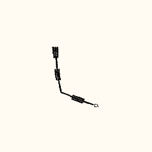 [C]#CC#CCC#CCC